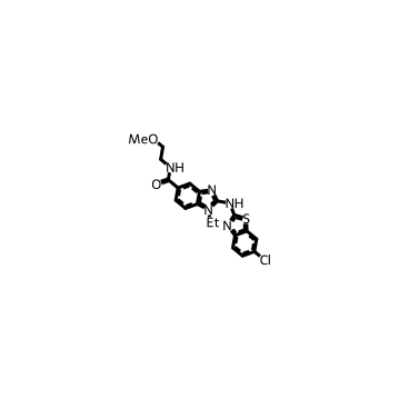 CCn1c(Nc2nc3ccc(Cl)cc3s2)nc2cc(C(=O)NCCOC)ccc21